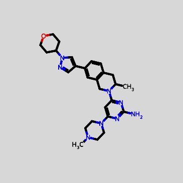 CC1Cc2ccc(-c3cnn(C4CCOCC4)c3)cc2CN1c1cc(N2CCN(C)CC2)nc(N)n1